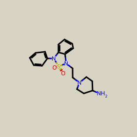 NC1CCN(CCN2c3ccccc3N(c3ccccc3)S2(=O)=O)CC1